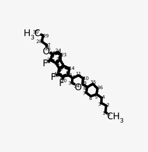 CCCCCC1CCC(C2CCC(c3cc4c(c(F)c3F)-c3c-4ccc(OCCCC)c3F)CO2)CC1